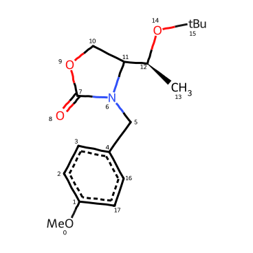 COc1ccc(CN2C(=O)OCC2[C@H](C)OC(C)(C)C)cc1